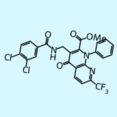 COC(=O)c1c(CNC(=O)c2ccc(Cl)c(Cl)c2)c(=O)c2ccc(C(F)(F)F)nc2n1-c1ccccc1